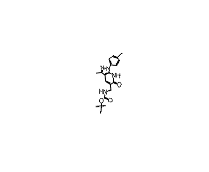 Cc1ccc(-n2nc(C)c3cc(CNC(=O)OC(C)(C)C)c(=O)[nH]c32)cc1